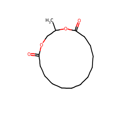 CC1COC(=O)CCCCCCCCCCCC(=O)O1